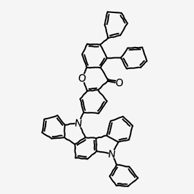 O=c1c2ccc(-n3c4ccccc4c4ccc5c(c6ccccc6n5-c5ccccc5)c43)cc2oc2ccc(-c3ccccc3)c(-c3ccccc3)c12